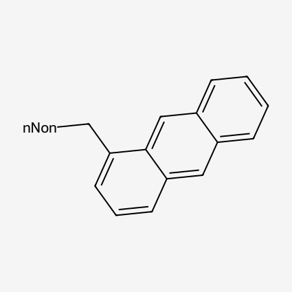 [CH2]CCCCCCCCCc1cccc2cc3ccccc3cc12